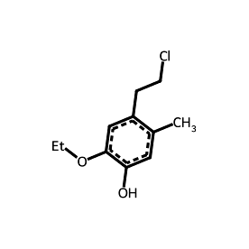 CCOc1cc(CCCl)c(C)cc1O